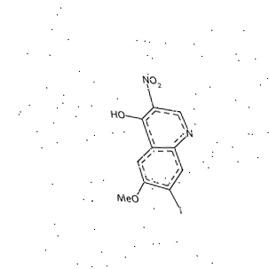 COc1cc2c(O)c([N+](=O)[O-])cnc2cc1I